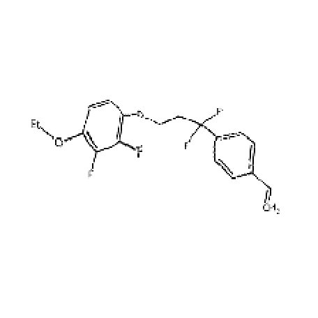 C=Cc1ccc(C(F)(F)CCOc2ccc(OCC)c(F)c2F)cc1